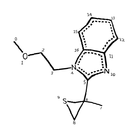 COCCn1c(C2(C)CS2)nc2ccccc21